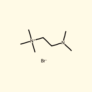 CN(C)CC[N+](C)(C)C.[Br-]